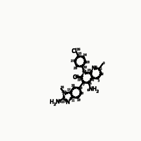 Cc1ccc2c(N)c(-c3ccc4nc(N)n(C)c4c3)c(=O)n(-c3ccc(Cl)cc3)c2n1